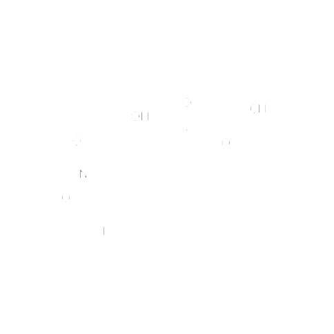 COC(=O)c1ccc(I)c([N+](=O)[O-])c1O